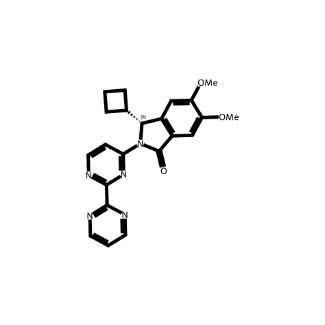 COc1cc2c(cc1OC)[C@@H](C1CCC1)N(c1ccnc(-c3ncccn3)n1)C2=O